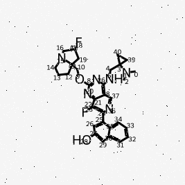 CN(C)C1(CNc2nc(OC[C@@]34CCCN3C[C@H](F)C4)nc3c(F)c(-c4cc(O)cc5ccccc45)ncc23)CC1